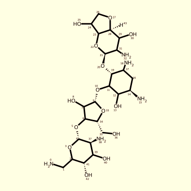 NCC1O[C@H](OC2C(O)[C@H](OC3C(O)[C@H](N)CC(N)[C@H]3O[C@H]3OC4C(O)CO[C@H]4C(O)C3N)O[C@@H]2CO)[C@@H](N)C(O)[C@@H]1O